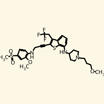 COCCCN1CCC(Nc2cccc3c(CC(F)(F)F)c(C#CCNc4ccc(S(C)(=O)=O)cc4OC)sc23)CC1